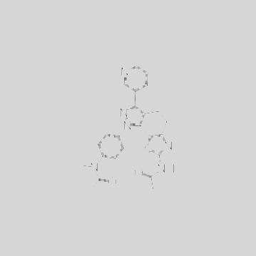 CC(=O)Nc1nc2c(s1)-c1c(c(-c3cccnc3)nn1-c1ccc(N(C)C(C)=O)cc1)CC2